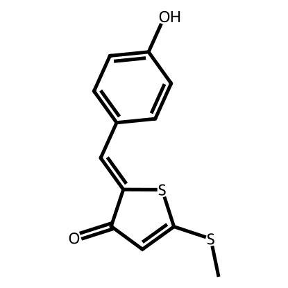 CSC1=CC(=O)/C(=C/c2ccc(O)cc2)S1